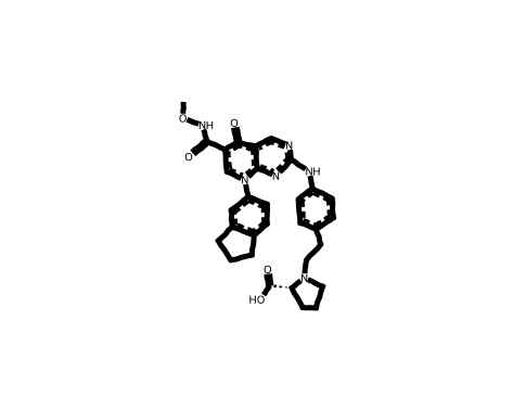 CONC(=O)c1cn(-c2ccc3c(c2)CCC3)c2nc(Nc3ccc(CCN4CCC[C@@H]4C(=O)O)cc3)ncc2c1=O